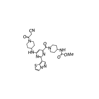 COC(=O)NC1CCN(C(=O)c2cc(NC3CCN(C(=O)CC#N)CC3)nc(-c3cnn4ccsc34)n2)CC1